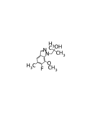 COc1c(F)c(C)cc2cnn(CC(C)(C)O)c12